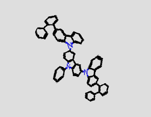 C1=CC(c2ccccc2)=C(c2ccc3c(c2)c2ccccc2n3-c2ccc3c(c2)c2c(n3-c3ccccc3)C=CC(n3c4ccccc4c4cc(-c5ccccc5-c5ccccc5)ccc43)C2)CC1